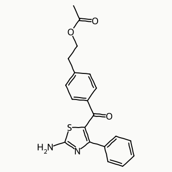 CC(=O)OCCc1ccc(C(=O)c2sc(N)nc2-c2ccccc2)cc1